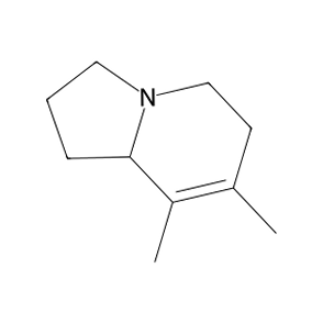 CC1=C(C)C2CCCN2CC1